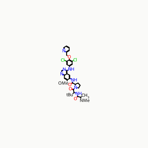 CNC(C)C(=O)NC(C(=O)N1CCCC1C(=O)Nc1cc2c(Nc3cc(Cl)c(OCc4ccccn4)c(Cl)c3)ncnc2cc1OC)C(C)(C)C